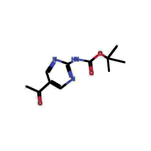 CC(=O)c1cnc(NC(=O)OC(C)(C)C)nc1